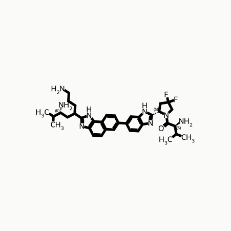 CC(C)[C@H](N)CC(CCCN)c1nc2ccc3cc(-c4ccc5nc([C@@H]6CC(F)(F)CN6C(=O)[C@@H](N)C(C)C)[nH]c5c4)ccc3c2[nH]1